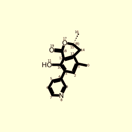 Cc1cc(-c2cccnc2)c(O)c2c1C[C@@H](C)OC2=O